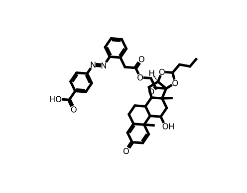 CCCC1O[C@@H]2CC3C4CCC5=CC(=O)C=CC5(C)C4C(O)CC3(C)C2(C(=O)COC(=O)Cc2ccccc2/N=N/c2ccc(C(=O)O)cc2)O1